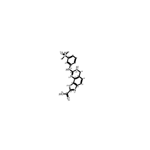 C[SH](C)(=O)c1cccc(NC2=Nc3c(ccc4nc(C(=O)O)sc34)CN2)c1